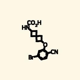 N#Cc1ccc(Br)cc1OC1CC2(CC(NC(=O)O)C2)C1